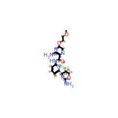 COCCOc1cnc(C(=O)Nc2ccc(F)c([C@H]3N=C(N)OCC3(F)F)n2)c(N)n1